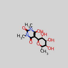 C[C@@H]1OC(c2c(O)n(C)c(=O)n(C)c2=O)[C@H](O)[C@H](O)[C@H]1O